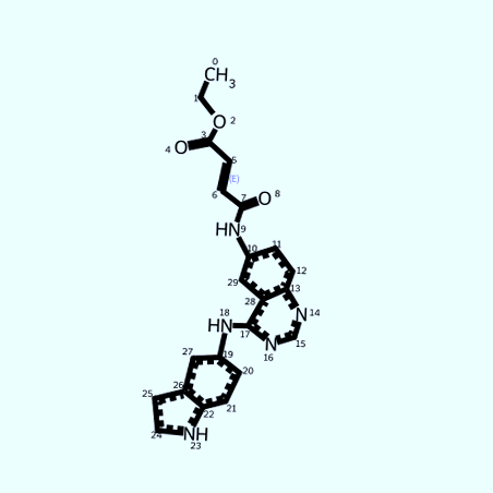 CCOC(=O)/C=C/C(=O)Nc1ccc2ncnc(Nc3ccc4[nH]ccc4c3)c2c1